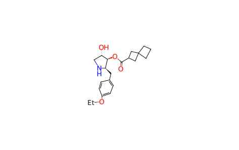 CCOc1ccc(C[C@H]2NC[C@H](O)[C@H]2OC(=O)C2CC3(CCC3)C2)cc1